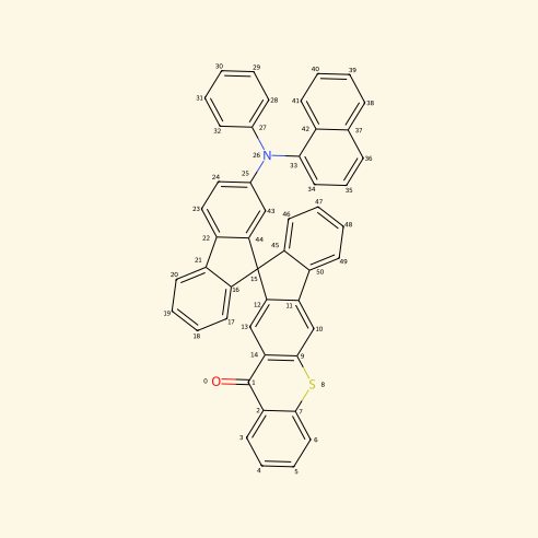 O=c1c2ccccc2sc2cc3c(cc12)C1(c2ccccc2-c2ccc(N(c4ccccc4)c4cccc5ccccc45)cc21)c1ccccc1-3